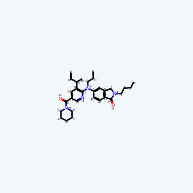 CCCCN1Cc2cc(N(CCC)c3ncc(C(=O)N4CCCCC4)cc3C(C)CC)ccc2C1=O